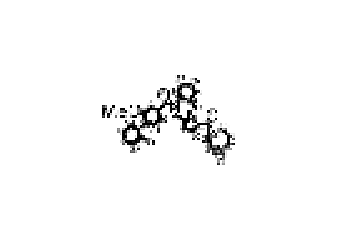 COc1cc(C(=O)N2Cc3ccc(C(=O)N4CCCN(C)CC4)n3Cc3ccccc32)ccc1-c1ccccc1C